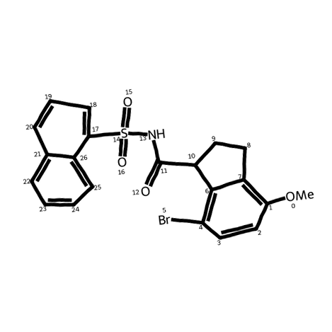 COc1ccc(Br)c2c1CCC2C(=O)NS(=O)(=O)c1cccc2ccccc12